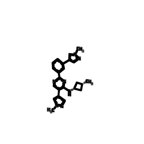 Cn1cc(-c2cccc(-c3ncc(-c4cnn(C)c4)c(N[C@H]4C[C@@H](C)C4)n3)c2)cn1